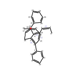 C\C=C/C=C(/C1=C(c2ccccc2)\C=C/C=C=CC1)N(C)c1ccccc1